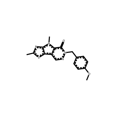 COc1ccc(Cn2ncc3c4sc(C)nc4n(C)c3c2=O)cc1